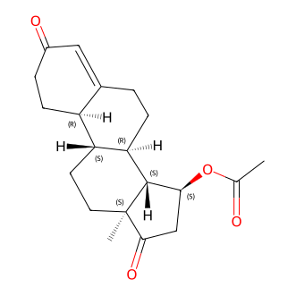 CC(=O)O[C@H]1CC(=O)[C@@]2(C)CC[C@H]3[C@@H](CCC4=CC(=O)CC[C@@H]43)[C@H]12